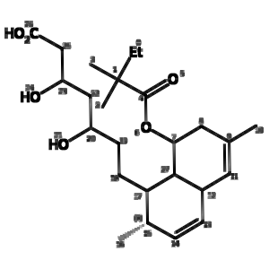 CCC(C)(C)C(=O)OC1CC(C)=CC2C=C[C@H](C)C(CCC(O)CC(O)CC(=O)O)C21